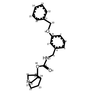 O=C(NCc1cccc(OCc2ccccc2)c1)OC1CN2CCC1CC2